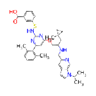 Cc1cccc(C)c1-c1cc(OCC(CC2(C)CC2)NCc2cc3ccn(C(C)C)c3cn2)nc(NSc2cccc(C(=O)O)c2)n1